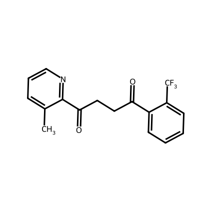 Cc1cccnc1C(=O)CCC(=O)c1ccccc1C(F)(F)F